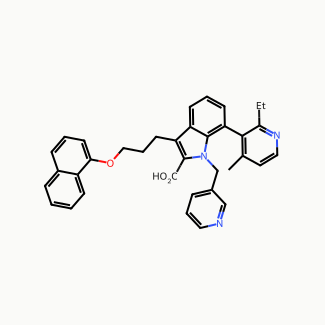 CCc1nccc(C)c1-c1cccc2c(CCCOc3cccc4ccccc34)c(C(=O)O)n(Cc3cccnc3)c12